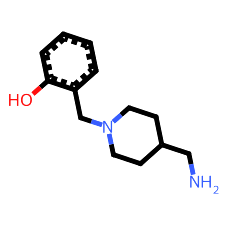 NCC1CCN(Cc2ccccc2O)CC1